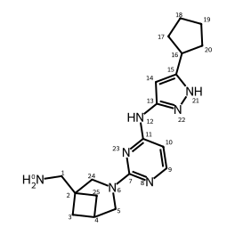 NCC12CC(CN(c3nccc(Nc4cc(C5CCCC5)[nH]n4)n3)C1)C2